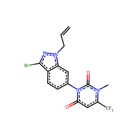 C=CCn1nc(Br)c2ccc(-n3c(=O)cc(C(F)(F)F)n(C)c3=O)cc21